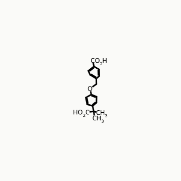 CC(C)(C(=O)O)c1ccc(OCc2ccc(C(=O)O)cc2)cc1